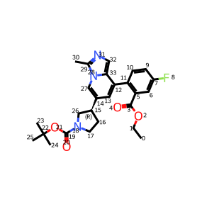 CCOC(=O)c1cc(F)ccc1-c1cc([C@H]2CCN(C(=O)OC(C)(C)C)C2)cn2c(C)ncc12